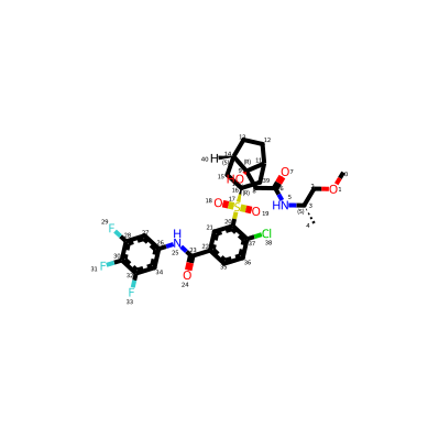 COC[C@H](C)NC(=O)C[C@@]1(O)C2CC[C@H]1C[C@H](S(=O)(=O)c1cc(C(=O)Nc3cc(F)c(F)c(F)c3)ccc1Cl)C2